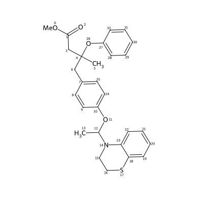 COC(=O)CC(C)(Cc1ccc(OC(C)N2CCSc3ccccc32)cc1)Oc1ccccc1